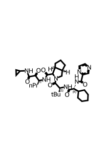 CCC[C@H](NC(=O)C1[C@H]2CCC[C@@H]2CN1C(=O)[C@@H](NC(=O)[C@H](NC(=O)c1cnccn1)C1CCCCC1)C(C)(C)C)C(=O)C(=O)NC1CC1